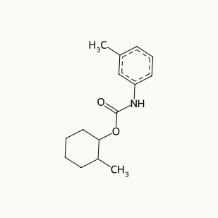 Cc1cccc(NC(=O)OC2CCCCC2C)c1